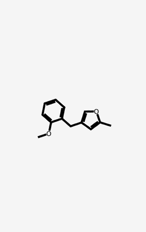 COc1ccccc1Cc1coc(C)c1